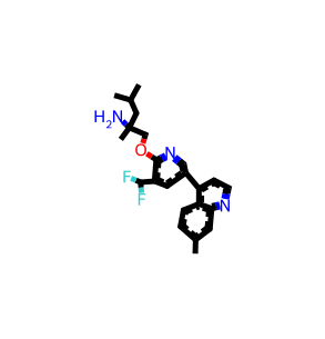 Cc1ccc2c(-c3cnc(OCC(C)(N)CC(C)C)c(C(F)F)c3)ccnc2c1